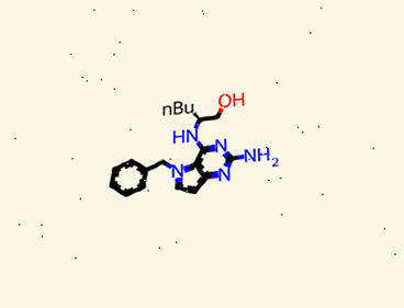 CCCC[C@@H](CO)Nc1nc(N)nc2ccn(Cc3ccccc3)c12